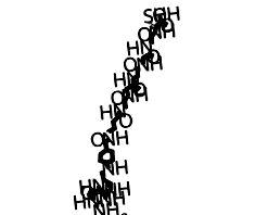 NC1NC(=O)C2=C(NCC(CNC3CCC(C(=O)NCCCC(=O)NCC(=O)NCC(=O)NCC(=O)NCC(=O)NCC(=O)N[C@H](CS)C(=O)O)CC3)N2)N1